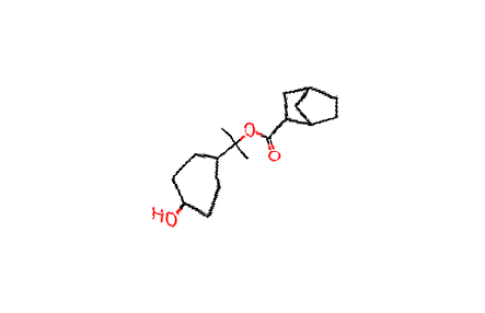 CC(C)(OC(=O)C1CC2CCC1C2)C1CCC(O)CC1